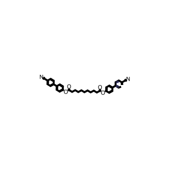 C=C(C#N)/C=C\C(=C/C)c1ccc(OC(=O)CCCCCCCCCC(=O)Oc2ccc(-c3ccc(C#N)cc3)cc2)cc1